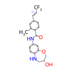 Cc1cc(/C=C/C(F)(F)F)ccc1C(=O)Nc1ccc2c(c1)OCC(O)CN2